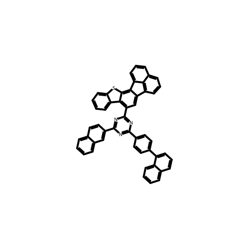 c1ccc2cc(-c3nc(-c4ccc(-c5cccc6ccccc56)cc4)nc(-c4cc5c(c6sc7ccccc7c46)-c4cccc6cccc-5c46)n3)ccc2c1